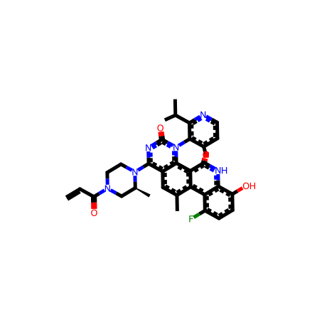 C=CC(=O)N1CCN(c2nc(=O)n(-c3c(C)ccnc3C(C)C)c3c2cc(C)c2c4c(F)ccc(O)c4[nH]c(=O)c23)[C@@H](C)C1